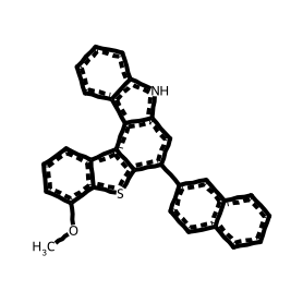 COc1cccc2c1sc1c(-c3ccc4ccccc4c3)cc3[nH]c4ccccc4c3c12